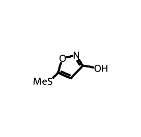 CSc1cc(O)no1